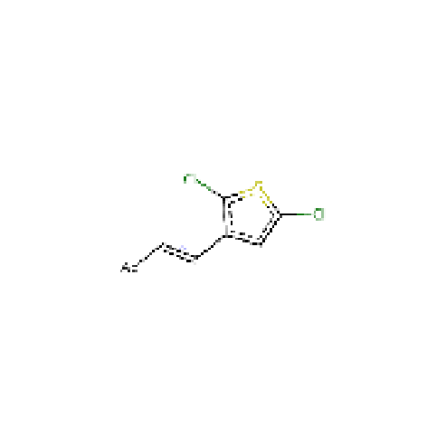 CC(=O)/C=C/c1cc(Cl)sc1Cl